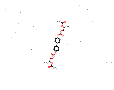 CC(=O)O[C@@H](C)COC(=O)Oc1ccc(-c2ccc(OC(=O)OC[C@H](C)OC(C)=O)cc2)cc1